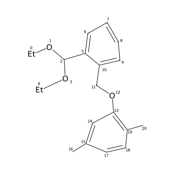 CCOC(OCC)c1ccccc1COc1cc(C)ccc1C